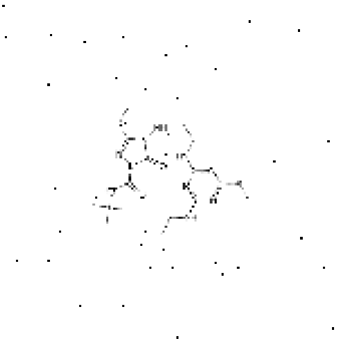 CC(C)c1nn(C(=O)NC(C)(C)C)c(=O)n1N.CCNc1nc(NC(C)C)nc(SC)n1